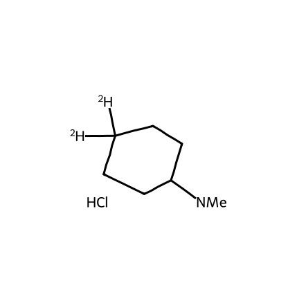 Cl.[2H]C1([2H])CCC(NC)CC1